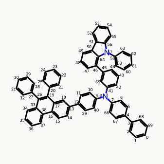 c1ccc(-c2ccc(N(c3ccc(-c4ccc5c(c4)c(-c4ccccc4)c(-c4ccccc4)c4ccccc45)cc3)c3cccc(-c4cccc5c6ccccc6n(-c6ccccc6)c45)c3)cc2)cc1